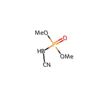 COP(=O)(BC#N)OC